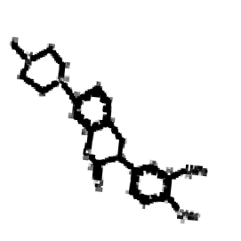 COc1ccc(C2Cc3ccc(N4CCN(C)CC4)cc3OC2=O)cc1OC